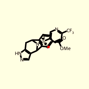 COC(=O)c1ccc2c(c1)C1c3cn[nH]c3CC2N1S(=O)(=O)c1ccc(C(F)(F)F)nc1